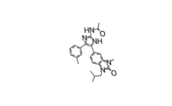 CC(=O)Nc1nc(-c2cccc(C)c2)c(-c2ccc3c(c2)n(C)c(=O)n3CC(C)C)[nH]1